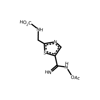 CC(=O)ONC(=N)c1cnc(CNC(=O)O)s1